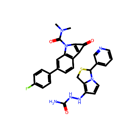 CN(C)C(=O)n1c2cc(-c3ccc(F)cc3)ccc2c2c(=O)c21.NC(=O)NNc1ccn2c1CSC2c1cccnc1